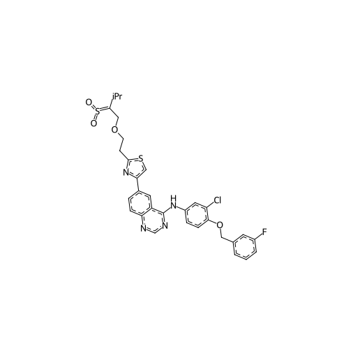 CC(C)C(COCCc1nc(-c2ccc3ncnc(Nc4ccc(OCc5cccc(F)c5)c(Cl)c4)c3c2)cs1)=S(=O)=O